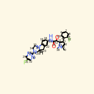 Cc1cc(-c2ccccc2F)c(C(=O)C(=O)Nc2ccc3c(c2)C[C@H]2CN(c4ncc(F)cn4)CCN32)n1C